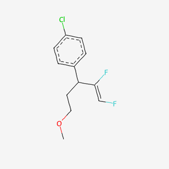 COCCC(C(F)=CF)c1ccc(Cl)cc1